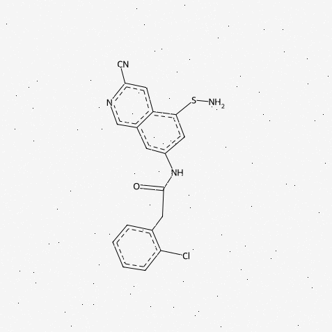 N#Cc1cc2c(SN)cc(NC(=O)Cc3ccccc3Cl)cc2cn1